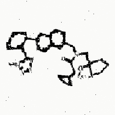 O=C(O)OC1(CN(Cc2ccc3cc(-c4ccccc4-c4nnn[nH]4)ccc3c2)C(=O)CC2CC2)CCCC1